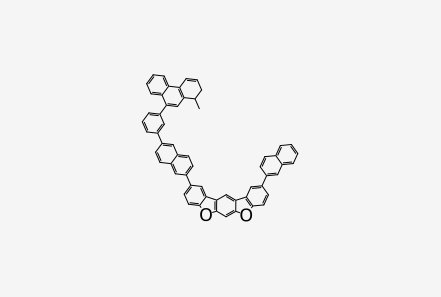 CC1CC=Cc2c1cc(-c1cccc(-c3ccc4cc(-c5ccc6oc7cc8oc9ccc(-c%10ccc%11ccccc%11c%10)cc9c8cc7c6c5)ccc4c3)c1)c1ccccc21